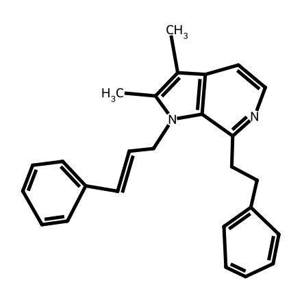 Cc1c(C)n(CC=Cc2ccccc2)c2c(CCc3ccccc3)nccc12